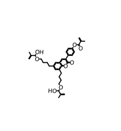 C=C(C)C(=O)Oc1ccc(-c2cc3cc(CCCCOC(O)C(=C)C)cc(CCCCOC(O)C(=C)C)c3oc2=O)cc1